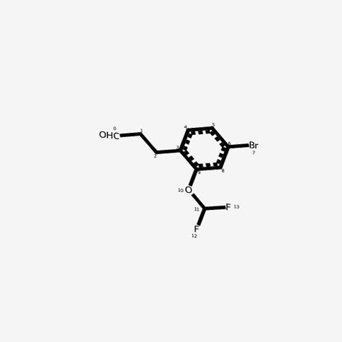 O=CCCc1ccc(Br)cc1OC(F)F